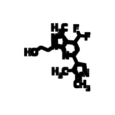 Cc1nn(CCO)c2nc(-c3cnn(C)c3C)cc(C(F)F)c12